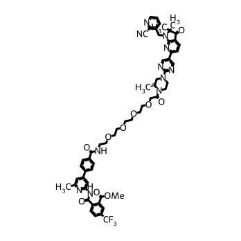 COC(=O)c1cc(C(F)(F)F)ccc1C(=O)Nc1cc(-c2ccc(C(=O)NCCOCCOCCOCCOCC(=O)N3CCN(c4ncc(-c5ccc6c(n5)N(Cc5cccnc5C#N)C(C)(C)C6=O)cn4)C[C@H]3C)cc2)cc(C)n1